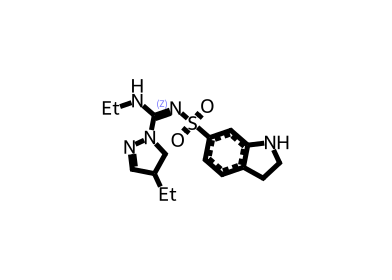 CCN/C(=N/S(=O)(=O)c1ccc2c(c1)NCC2)N1CC(CC)C=N1